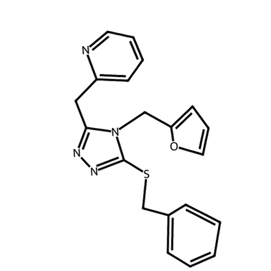 c1ccc(CSc2nnc(Cc3ccccn3)n2Cc2ccco2)cc1